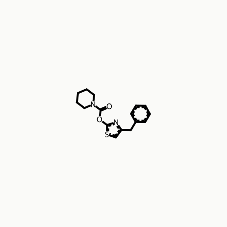 O=C(Oc1nc(Cc2ccccc2)cs1)N1CCCCC1